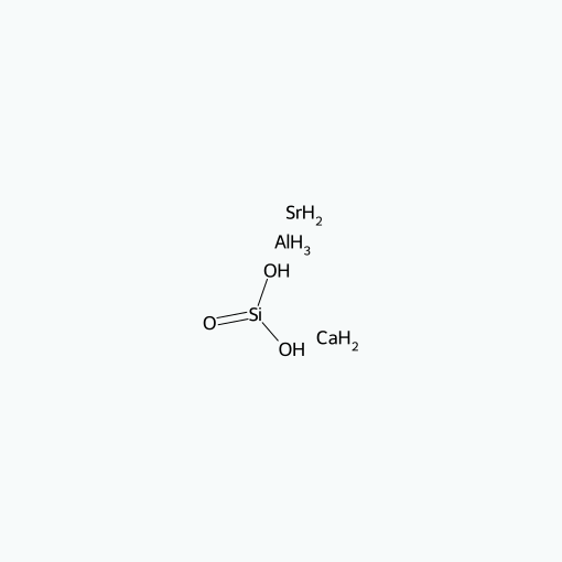 O=[Si](O)O.[AlH3].[CaH2].[SrH2]